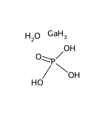 O.O=P(O)(O)O.[GaH3]